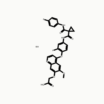 COc1cc2c(Oc3ccc(NC(=O)C4(C(=O)Nc5ccc(F)cc5)CC4)cc3F)ccnc2cc1OCC(=O)O.[KH]